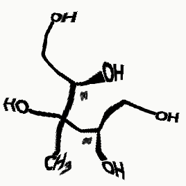 CC(O)([C@H](O)CO)[C@H](O)CO